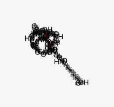 COc1ccc(C[C@@H]2NC(=O)[C@H]([C@@H](C)O)NC(=O)[C@@H]3[C@@H]4CCN3C(=O)[C@@H]3Cc5cn(c6ccc(F)cc56)CCCCCCN(Cc5ccc(cc5)CCNC(=O)[C@]5(C)CCCN5C2=O)C(=O)CCC(=O)N[C@@H](C)C(=O)N[C@H](CNC(=O)CCOCCOCCNC(=O)CCCCCCCCCCCCCCCCC(=O)O)C(=O)N[C@@H](Cc2cccc(c2)CNC(=O)CO4)C(=O)N3)cc1